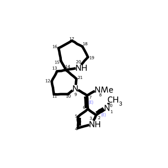 C/N=C1/NC=C/C1=C(/NC)N1CCCCC2(CCCCCN2)C1